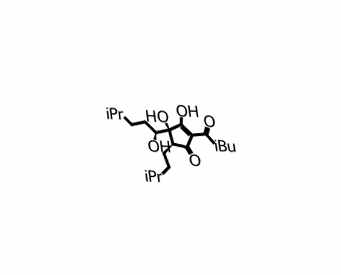 CCC(C)C(=O)C1=C(O)[C@@](O)([C@@H](O)CCC(C)C)[C@H](CCC(C)C)C1=O